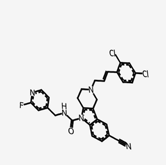 N#Cc1ccc2c(c1)c1c(n2C(=O)NCc2ccnc(F)c2)CCN(CC=Cc2ccc(Cl)cc2Cl)C1